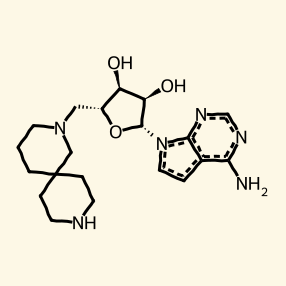 Nc1ncnc2c1ccn2[C@@H]1O[C@H](CN2CCCC3(CCNCC3)C2)[C@@H](O)[C@H]1O